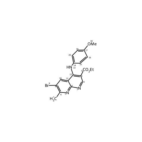 CCOC(=O)c1cnc2nc(C)c(Br)cc2c1Nc1ccc(OC)cc1